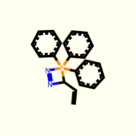 C=CC1N=NP1(c1ccccc1)(c1ccccc1)c1ccccc1